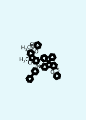 CC1(C)c2cc(N(c3ccc(-c4ccccc4)cc3)c3ccc4c(c3)C(c3ccccc3)(c3ccccc3)c3ccc5c(c3-4)Oc3ccccc3S5)ccc2-c2c1ccc1c2Oc2ccccc2[Si]1(C)C